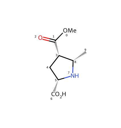 COC(=O)[C@H]1C[C@@H](C(=O)O)N[C@H]1C